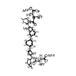 COC(=O)N[C@H](C(=O)NC(c1ncc(-c2ccc(-c3ccc4cc([C@@H]5CCCN5C(=O)[C@@H](NC(=O)OC)C(C)C)[nH]c4c3)cc2)[nH]1)C1CCC2CC21)C(C)C